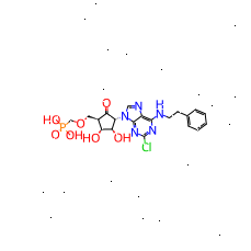 O=C1[C@H](COCP(=O)(O)O)[C@H](O)[C@H](O)[C@H]1n1cnc2c(NCCc3ccccc3)nc(Cl)nc21